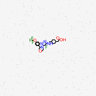 C=N/C(NCC1CCC(CC(=O)O)CC1)=C(F)\C(=N/C)N1CCOCC1c1ccc(OC(F)(F)F)cc1